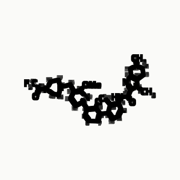 COc1nc(-c2cccc(-c3cccc(NC(=O)c4nc5c(n4C)CCN(C)C5)c3Cl)c2Cl)ccc1CN1CCN(C(=O)C(F)(F)F)CC1